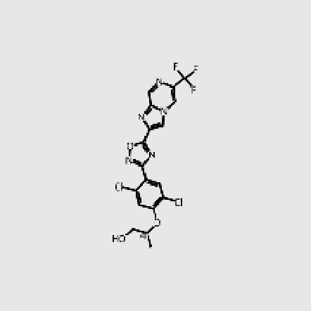 C[C@@H](CO)Oc1cc(Cl)c(-c2noc(-c3cn4cc(C(F)(F)F)ncc4n3)n2)cc1Cl